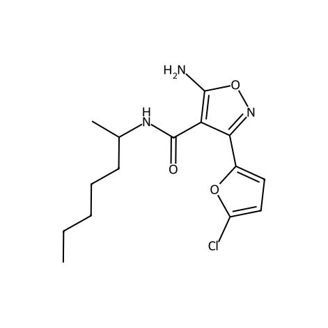 CCCCCC(C)NC(=O)c1c(-c2ccc(Cl)o2)noc1N